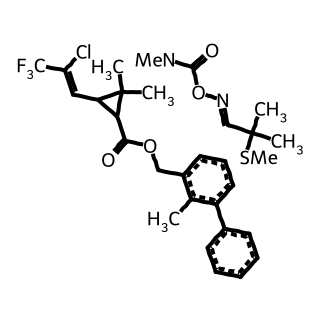 CNC(=O)O/N=C/C(C)(C)SC.Cc1c(COC(=O)C2C(/C=C(\Cl)C(F)(F)F)C2(C)C)cccc1-c1ccccc1